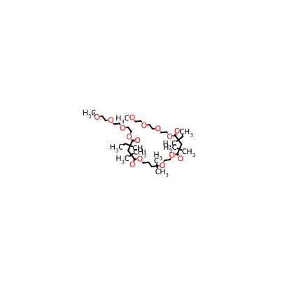 CCC(C)(CC(C)(C)C(=O)OCCCC(C)(C)OCCOC(=O)C(C)(C)CC(C)(CC)C(=O)OCCOCCOCCOC)C(=O)OCCOCCOCCOC